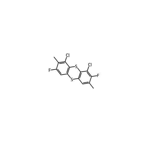 Cc1cc2c(c(Cl)c1F)Sc1c(cc(F)c(C)c1Cl)S2